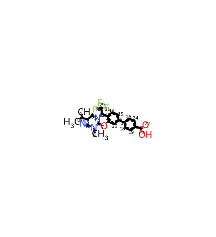 CC(C)CCN(C(=O)N(C)C#N)C(c1ccc(-c2ccc(C(=O)O)cc2)cc1)C(F)(F)F